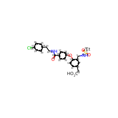 CCS(=O)(=O)NCc1cc(CC(=O)O)ccc1Oc1ccc(C(=O)NCCc2ccc(Cl)cc2)cc1